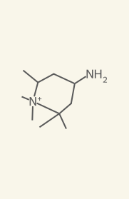 CC1CC(N)CC(C)(C)[N+]1(C)C